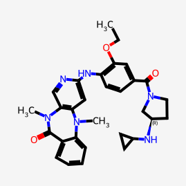 CCOc1cc(C(=O)N2CC[C@@H](NC3CC3)C2)ccc1Nc1cc2c(cn1)N(C)C(=O)c1ccccc1N2C